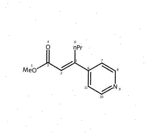 CCCC(=CC(=O)OC)c1ccncc1